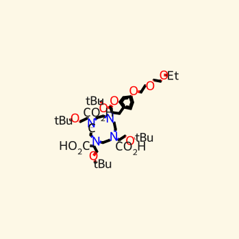 CCOCCOCCOc1ccc(CC(C(=O)OC(C)(C)C)N2CCN(C(COC(C)(C)C)C(=O)O)CCN(C(COC(C)(C)C)C(=O)O)CCN(C(COC(C)(C)C)C(=O)O)CC2)cc1